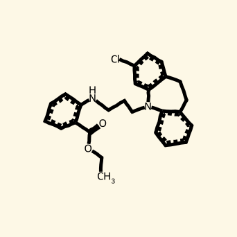 CCOC(=O)c1ccccc1NCCCN1c2ccccc2CCc2ccc(Cl)cc21